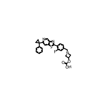 O=C(O)OC1CN(Cc2ccc(-c3nc4cnc(C5(c6ccccc6)CC5)cc4s3)c(F)c2)C1